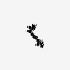 COC(=O)NC(C(=O)N1[C@@H]2C[C@@H]2C[C@H]1c1nc(-c2ccc3cc(-c4ccc(-c5c[nH]c([C@@H]6C[C@H]7C[C@H]7N6C(=O)C(NC(=O)O)C(C)C)n5)cc4)ccc3c2)c[nH]1)C(C)C